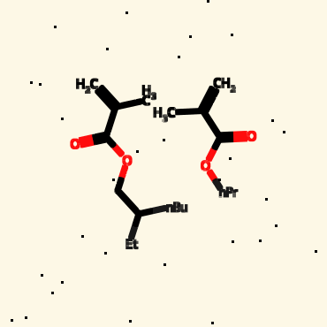 C=C(C)C(=O)OCC(CC)CCCC.C=C(C)C(=O)OCCC